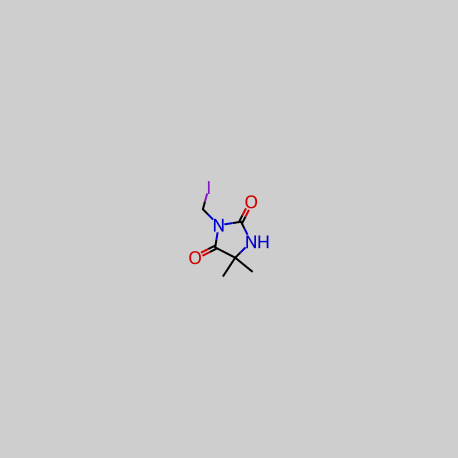 CC1(C)NC(=O)N(CI)C1=O